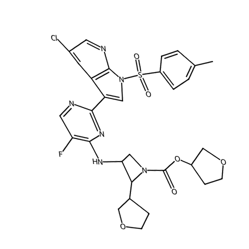 Cc1ccc(S(=O)(=O)n2cc(-c3ncc(F)c(NC4CN(C(=O)OC5CCOC5)C4C4CCOC4)n3)c3cc(Cl)cnc32)cc1